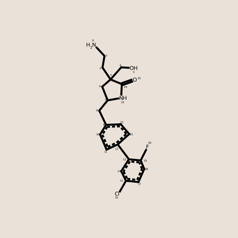 NCCC1(CO)CC(Cc2ccc(-c3cc(Cl)ccc3F)cc2)NC1=O